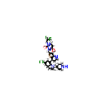 N#CC1(Cn2ccc3cc(Cl)cc(-c4ccnc5cc(Cn6c(=O)ccn(CC(F)F)c6=O)sc45)c32)CCNCC1